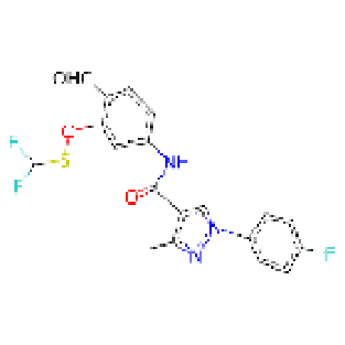 Cc1nn(-c2ccc(F)cc2)cc1C(=O)Nc1ccc(C=O)c(OSC(F)F)c1